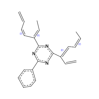 C=C/C=C\C(=C/C)c1nc(/C(C=C)=C/C=C\C)nc(-c2ccccc2)n1